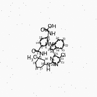 CC1(NC(=O)c2ccc(NC(=O)O)cc2)CCCC(Nc2ncc(Cl)c(-c3c[nH]c4ccccc34)n2)C1